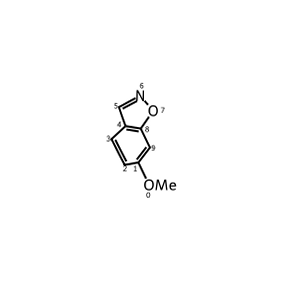 COc1ccc2cnoc2c1